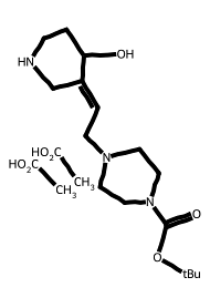 CC(=O)O.CC(=O)O.CC(C)(C)OC(=O)N1CCN(C/C=C2\CNCCC2O)CC1